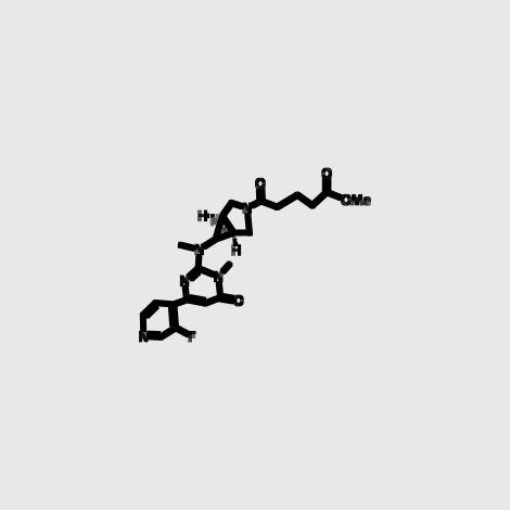 COC(=O)CCCC(=O)N1C[C@@H]2C(N(C)c3nc(-c4ccncc4F)cc(=O)n3C)[C@@H]2C1